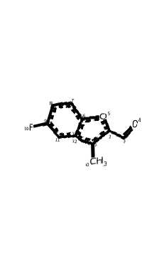 Cc1c(C=O)oc2ccc(F)cc12